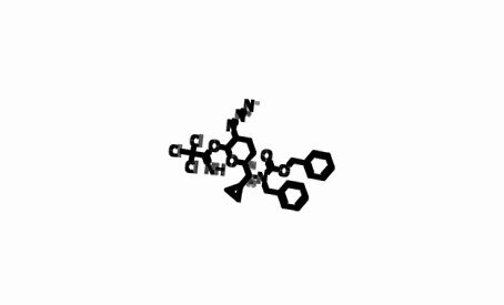 [N-]=[N+]=NC1CC[C@@H]([C@@H](C2CC2)N(Cc2ccccc2)C(=O)OCc2ccccc2)OC1OC(=N)C(Cl)(Cl)Cl